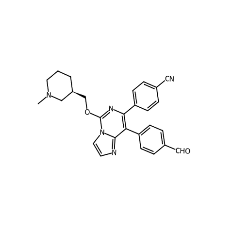 CN1CCC[C@@H](COc2nc(-c3ccc(C#N)cc3)c(-c3ccc(C=O)cc3)c3nccn23)C1